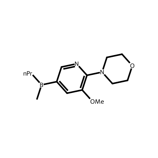 CCCB(C)c1cnc(N2CCOCC2)c(OC)c1